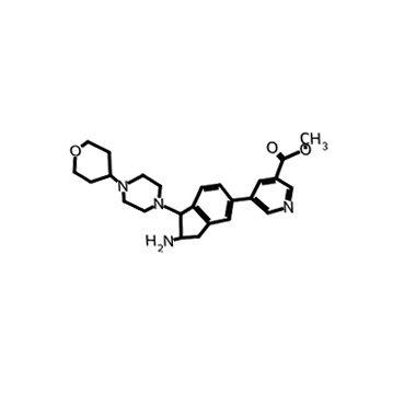 COC(=O)c1cncc(-c2ccc3c(c2)CC(N)C3N2CCN(C3CCOCC3)CC2)c1